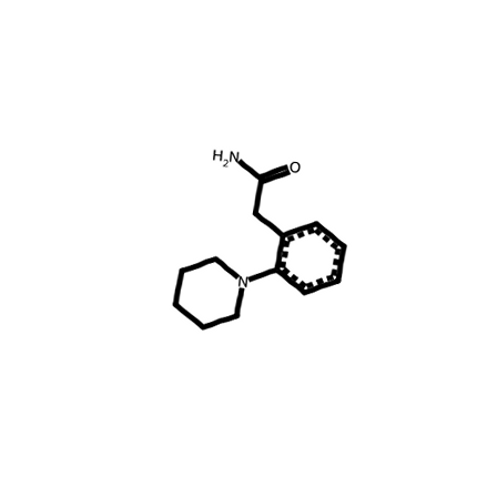 NC(=O)Cc1ccccc1N1CCCCC1